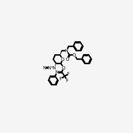 [N-]=[N+]=N[C@@H]1CC[C@@H](CN(Cc2ccccc2)C(=O)OCc2ccccc2)OC1O/C(=N/c1ccccc1)C(F)(F)F